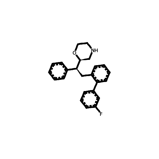 Fc1cccc(-c2ccccc2C[C@@H](c2ccccc2)[C@@H]2CNCCO2)c1